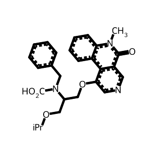 CC(C)OCC(COc1cncc2c(=O)n(C)c3ccccc3c12)N(Cc1ccccc1)C(=O)O